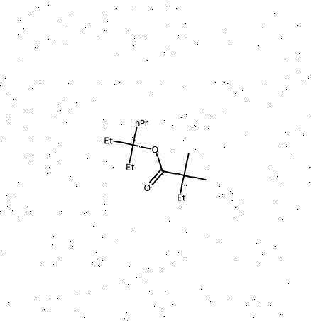 CCCC(CC)(CC)OC(=O)C(C)(C)CC